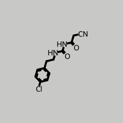 N#CCC(=O)NC(=O)NCCc1ccc(Cl)cc1